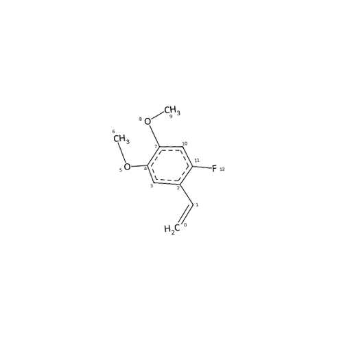 C=Cc1cc(OC)c(OC)cc1F